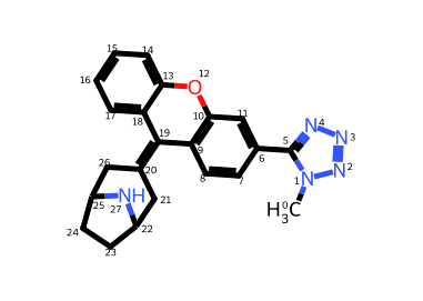 Cn1nnnc1-c1ccc2c(c1)Oc1ccccc1C2=C1CC2CCC(C1)N2